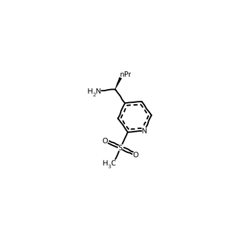 CCC[C@H](N)c1ccnc(S(C)(=O)=O)c1